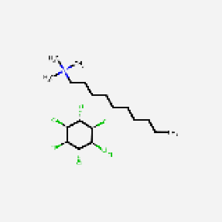 CCCCCCCCCC[N+](C)(C)C.Cl[C@H]1[C@H](Cl)[C@@H](Cl)[C@@H](Cl)[C@H](Cl)[C@H]1Cl.[Cl-]